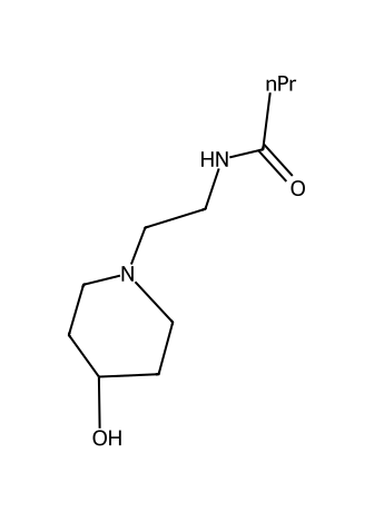 CCCC(=O)NCCN1CCC(O)CC1